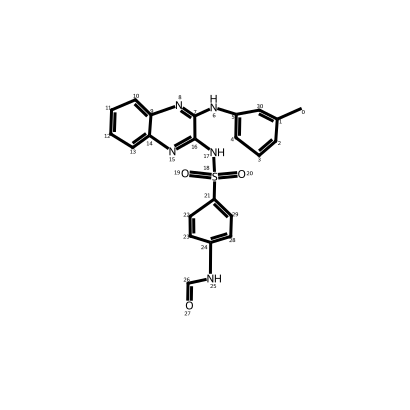 Cc1cccc(Nc2nc3ccccc3nc2NS(=O)(=O)c2ccc(NC=O)cc2)c1